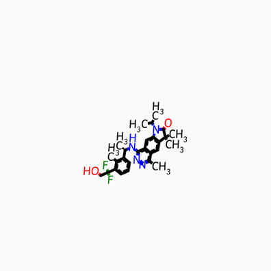 Cc1c([C@@H](C)Nc2nnc(C)c3cc4c(cc23)N(C(C)C)C(=O)C4(C)C)cccc1C(F)(F)CO